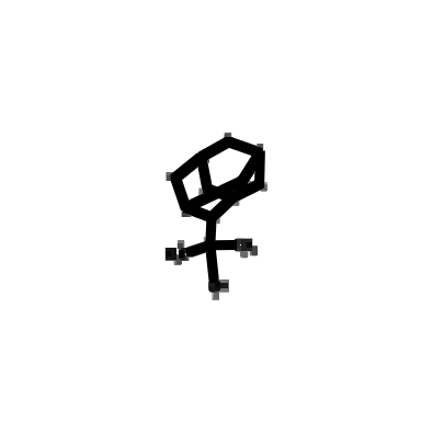 CC(C)(O)C1C2CC3CC(C2)CC1C3